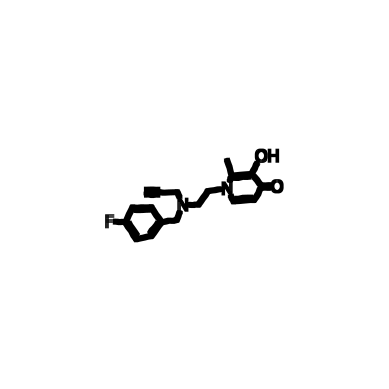 C#CCN(CCn1ccc(=O)c(O)c1C)Cc1ccc(F)cc1